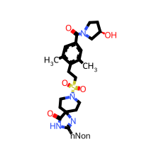 CCCCCCCCCC1=NC2(CCN(S(=O)(=O)CCc3c(C)cc(C(=O)N4CC[C@@H](O)C4)cc3C)CC2)C(=O)N1